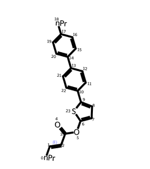 CCC/C=C/C(=O)Oc1ccc(-c2ccc(-c3ccc(CCC)cc3)cc2)s1